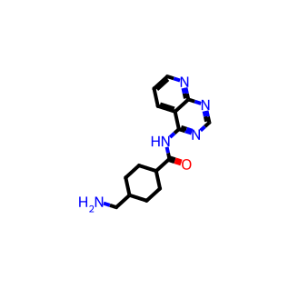 NCC1CCC(C(=O)Nc2ncnc3ncccc23)CC1